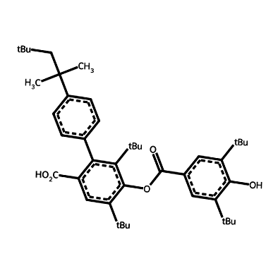 CC(C)(C)CC(C)(C)c1ccc(-c2c(C(=O)O)cc(C(C)(C)C)c(OC(=O)c3cc(C(C)(C)C)c(O)c(C(C)(C)C)c3)c2C(C)(C)C)cc1